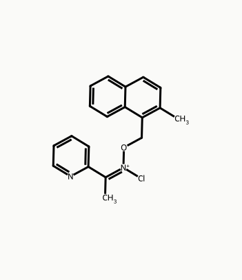 CC(c1ccccn1)=[N+](Cl)OCc1c(C)ccc2ccccc12